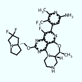 Cc1nc(N)cc(-c2nc3c4c(nc(OC[C@]56CCCN5CC(F)(F)C6)nc4c2F)N2CCNC[C@H]2[C@H](C)O3)c1C(F)(F)F